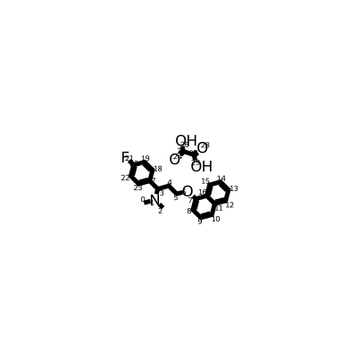 CN(C)C(CCOc1cccc2ccccc12)c1ccc(F)cc1.O=C(O)C(=O)O